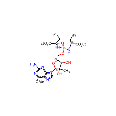 CCOC(=O)[C@@H](CC(C)C)NP(=O)(N[C@H](CC(C)C)C(=O)OCC)OC[C@H]1OC(n2cnc3c(OC)nc(N)nc32)[C@@](C)(O)C1O